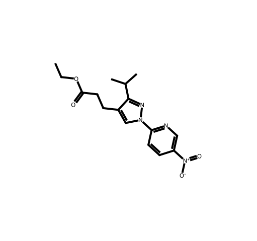 CCOC(=O)CCc1cn(-c2ccc([N+](=O)[O-])cn2)nc1C(C)C